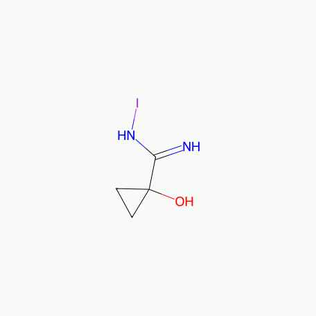 N=C(NI)C1(O)CC1